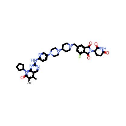 CC(=O)c1c(C)c2cnc(Nc3ccc(N4CCN(C5CCN(Cc6cc(F)c7c(c6)C(=O)N(C6CCC(=O)NC6=O)C7=O)CC5)CC4)cn3)nc2n(C2CCCC2)c1=O